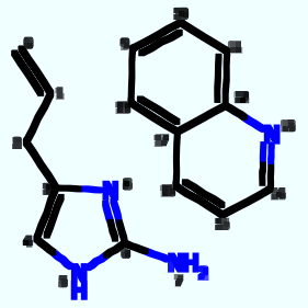 C=CCc1c[nH]c(N)n1.c1ccc2ncccc2c1